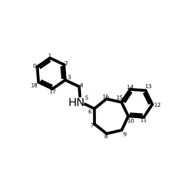 c1ccc(CNC2CCCc3ccccc3C2)cc1